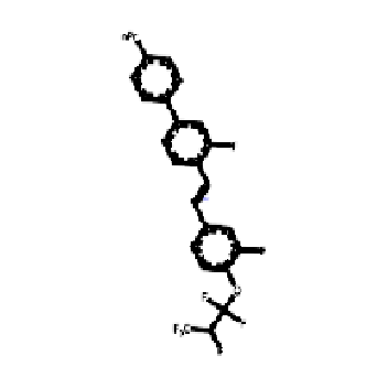 CCCc1ccc(-c2ccc(/C=C/c3ccc(OC(F)(F)C(F)C(F)(F)F)c(F)c3)c(F)c2)cc1